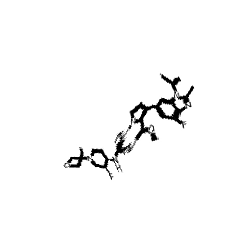 COc1nc(N[C@@H]2CCN(C3(C)COC3)C[C@@H]2F)nn2ccc(-c3cc(F)c4nc(C)n(C(C)C)c4c3)c12